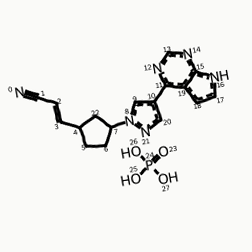 N#CC=CC1CCC(n2cc(-c3ncnc4[nH]ccc34)cn2)C1.O=P(O)(O)O